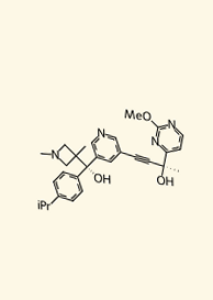 COc1nccc([C@@](C)(O)C#Cc2cncc([C@@](O)(c3ccc(C(C)C)cc3)C3(C)CN(C)C3)c2)n1